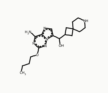 CCCCOc1nc(N)c2ncc(C(O)C3CC4(CCNCC4)C3)n2n1